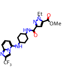 CCn1nc(C(=O)NC2CCC(Nc3cccc4nc(C(F)(F)F)cn34)CC2)cc1C(=O)OC